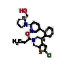 C=CC(=O)N1Cc2sc(Cl)cc2[C@H](c2ccccc2-c2ccc(N3CCC[C@@H]3CO)nc2)C1